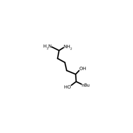 CCCCC(O)C(O)CCCC(N)N